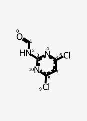 O=CNc1nc(Cl)cc(Cl)n1